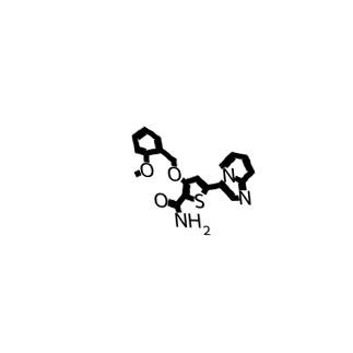 COc1ccccc1COc1cc(-c2cnc3ccccn23)sc1C(N)=O